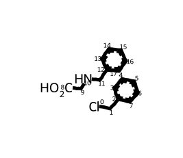 ClCc1ccccc1.O=C(O)CNCc1ccccc1